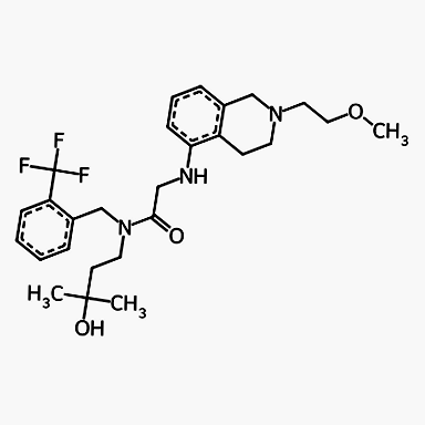 COCCN1CCc2c(cccc2NCC(=O)N(CCC(C)(C)O)Cc2ccccc2C(F)(F)F)C1